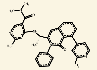 Cc1cc(-c2cccc3cc([C@H](C)Nc4nc(C)ncc4C(=O)N(C)C)n(-c4ccccc4)c(=O)c23)ccn1